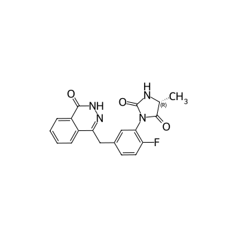 C[C@H]1NC(=O)N(c2cc(Cc3n[nH]c(=O)c4ccccc34)ccc2F)C1=O